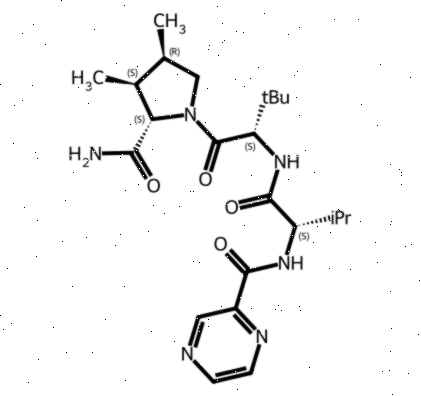 CC(C)[C@H](NC(=O)c1cnccn1)C(=O)N[C@H](C(=O)N1C[C@H](C)[C@H](C)[C@H]1C(N)=O)C(C)(C)C